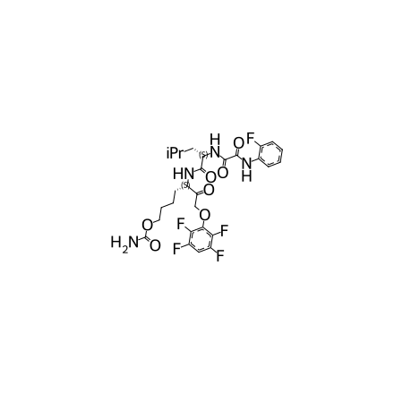 CC(C)C[C@H](NC(=O)C(=O)Nc1ccccc1F)C(=O)N[C@@H](CCCCOC(N)=O)C(=O)COc1c(F)c(F)cc(F)c1F